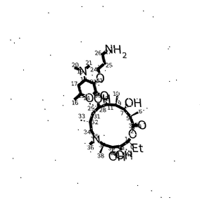 CC[C@H]1OC(=O)[C@H](C)[C@@H](O)[C@H](C)[C@@H](O[C@@H]2OC(C)C[C@H](N(C)C)[C@H]2OCCCN)[C@](C)(O)C[C@@H](C)CN(C)[C@H](C)[C@@H](O)[C@]1(C)O